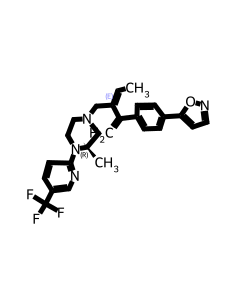 C=C(/C(=C\C)CN1CCN(c2ccc(C(F)(F)F)cn2)[C@H](C)C1)c1ccc(-c2ccno2)cc1